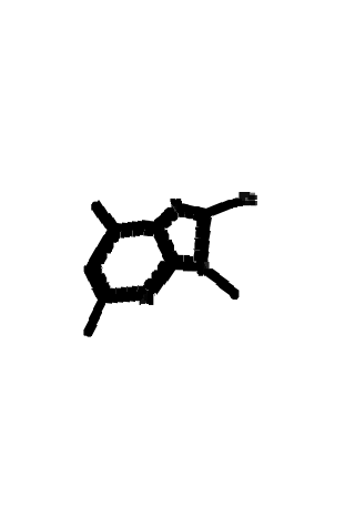 CCc1nc2c(C)cc(C)nc2n1C